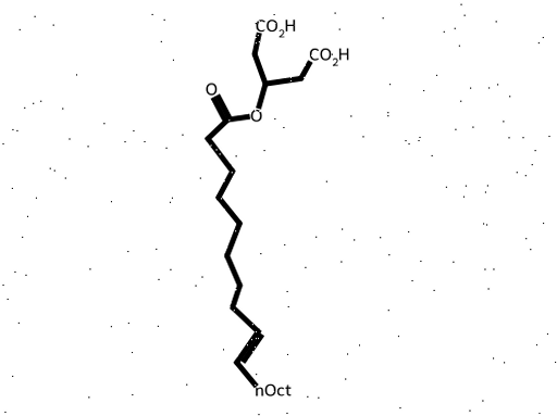 CCCCCCCCC=CCCCCCCCC(=O)OC(CC(=O)O)CC(=O)O